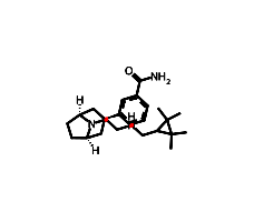 CC1(C)C(CNCCN2[C@@H]3CC[C@H]2C[C@@H](c2cccc(C(N)=O)c2)C3)C1(C)C